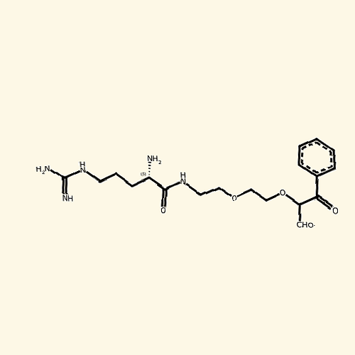 N=C(N)NCCC[C@H](N)C(=O)NCCOCCOC([C]=O)C(=O)c1ccccc1